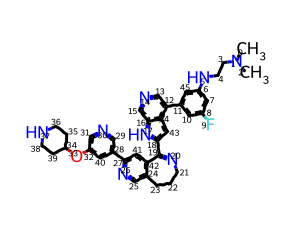 CN(C)CCNc1cc(F)cc(-c2cncc3[nH]c(C4=NCCCc5cnc(-c6cncc(OC7CCNCC7)c6)cc54)cc23)c1